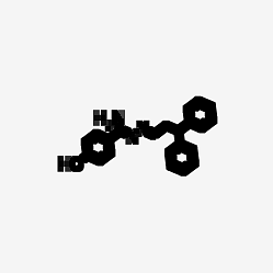 NC(=NN=CCC(c1ccccc1)c1ccccc1)c1ccc(O)cc1